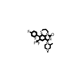 CC1CN(C)CCN1c1nc(=O)n2c3c(c(-c4ccc(F)cc4)c(C(F)(F)F)cc13)SCCC2